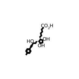 Cc1ccc(C#CC(O)CC[C@@H]2[C@@H](CCCCCCC(=O)O)[C@@H](O)C[C@H]2O)cc1